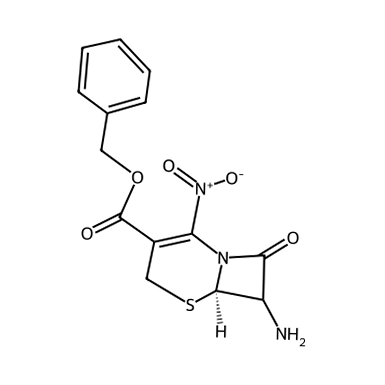 NC1C(=O)N2C([N+](=O)[O-])=C(C(=O)OCc3ccccc3)CS[C@H]12